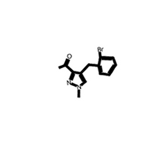 CC(=O)c1nn(C)cc1Cc1ccccc1Br